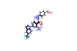 CC(C)Nc1cc(-n2ccc3cc(C(F)(F)F)cnc32)ncc1C(=O)NC1CCC(CO)CC1